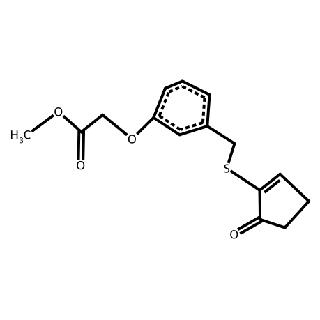 COC(=O)COc1cccc(CSC2=CCCC2=O)c1